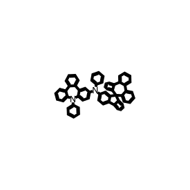 c1ccc(N(c2ccc3c(c2)-c2ccccc2-c2ccccc2N3c2ccccc2)c2ccc3c(c2)C2(c4ccccc4-c4ccccc4-c4ccccc42)c2ccccc2-3)cc1